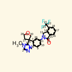 Cn1cnnc1C1(c2cccc(N3Cc4c(cccc4C(F)(F)F)C3=O)c2)CCOC1